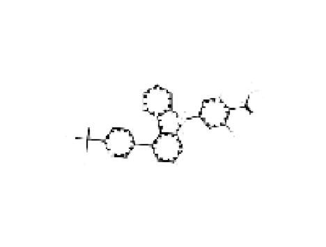 Cc1cc(-n2c3ccccc3c3c(-c4ccc(C(F)(F)F)nc4)cccc32)ccc1C(N)=O